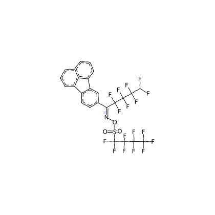 O=S(=O)(O/N=C(/c1ccc2c(c1)-c1cccc3cccc-2c13)C(F)(F)C(F)(F)C(F)(F)C(F)F)C(F)(F)C(F)(F)C(F)(F)C(F)(F)F